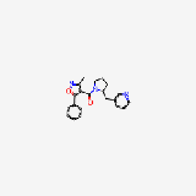 Cc1noc(-c2ccccc2)c1C(=O)N1CCCC1Cc1cccnc1